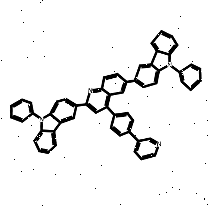 c1ccc(-n2c3ccccc3c3cc(-c4ccc5nc(-c6ccc7c(c6)c6ccccc6n7-c6ccccc6)cc(-c6ccc(-c7cccnc7)cc6)c5c4)ccc32)cc1